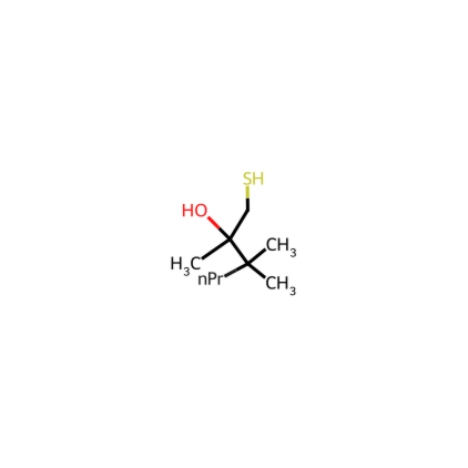 CCCC(C)(C)C(C)(O)CS